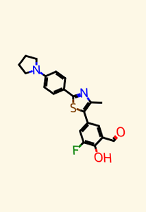 Cc1nc(-c2ccc(N3CCCC3)cc2)sc1-c1cc(F)c(O)c(C=O)c1